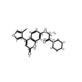 Cc1cscc1-c1cc(=O)oc2cc(O[C@H](C)C(=O)N3CCCCC3)ccc12